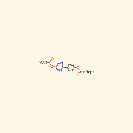 CCCCCCCCC(=O)Oc1cnc(-c2ccc(OC(=O)CCCCCCC)cc2)nc1